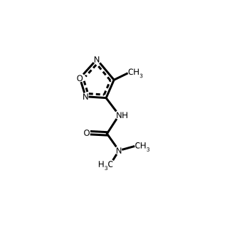 Cc1nonc1NC(=O)N(C)C